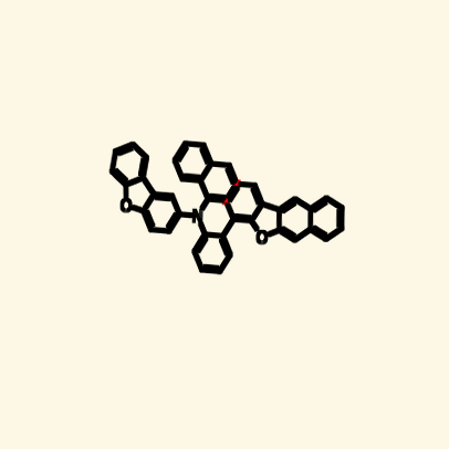 c1ccc(N(c2ccc3oc4ccccc4c3c2)c2cccc3ccccc23)c(-c2cccc3c2oc2cc4ccccc4cc23)c1